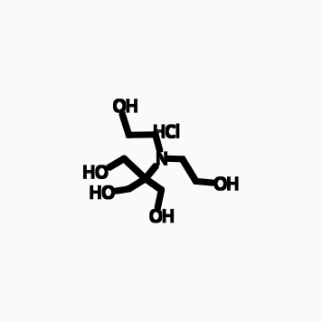 Cl.OCCN(CCO)C(CO)(CO)CO